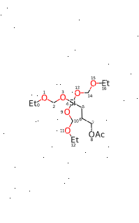 CCOCO[Si](CCCOC(C)=O)(OCOCC)OCOCC